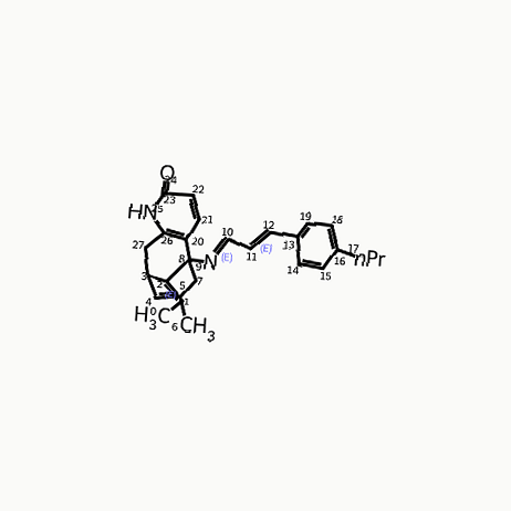 C/C=C1\C2C=C(C)CC1(/N=C/C=C/c1ccc(CCC)cc1)c1ccc(=O)[nH]c1C2